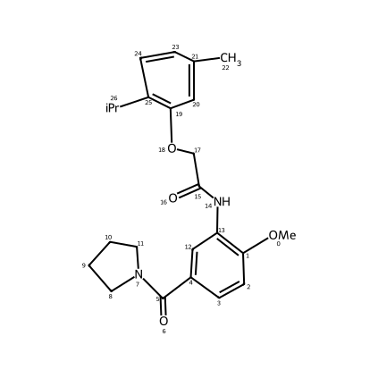 COc1ccc(C(=O)N2CCCC2)cc1NC(=O)COc1cc(C)ccc1C(C)C